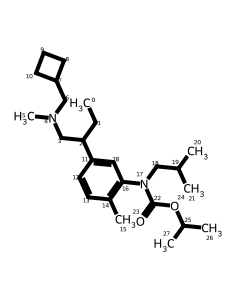 CCC(CN(C)CC1CCC1)c1ccc(C)c(N(CC(C)C)C(=O)OC(C)C)c1